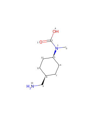 CN(C(=O)O)[C@H]1CC[C@@H](CN)CC1